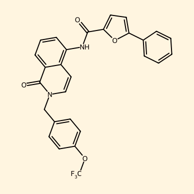 O=C(Nc1cccc2c(=O)n(Cc3ccc(OC(F)(F)F)cc3)ccc12)c1ccc(-c2ccccc2)o1